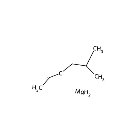 C[CH]CCC(C)C.[MgH2]